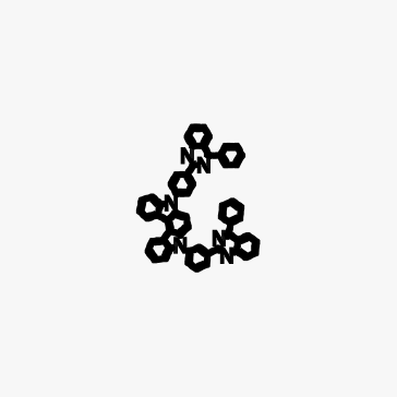 c1ccc(-c2nc(-c3ccc(-n4c5ccccc5c5c6c7ccccc7n(-c7cccc(-c8nc(-c9ccccc9)c9ccccc9n8)c7)c6ccc54)cc3)nc3ccccc23)cc1